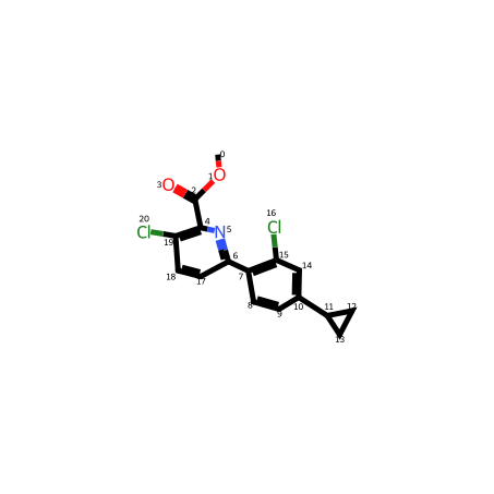 COC(=O)c1nc(-c2ccc(C3CC3)cc2Cl)ccc1Cl